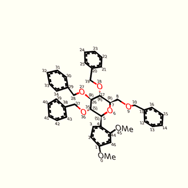 COc1ccc([C@@H]2O[C@H](COCc3ccccc3)[C@@H](OCc3ccccc3)[C@H](OCc3ccccc3)[C@H]2OCc2ccccc2)c(OC)c1